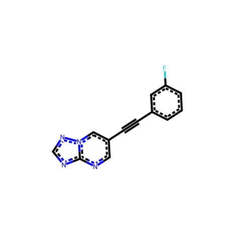 Fc1cccc(C#Cc2cnc3ncnn3c2)c1